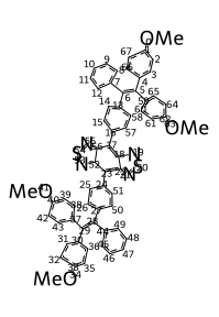 COc1ccc(C(=C(c2ccccc2)c2ccc(C3=C4N=S=NC4=C(c4ccc(C(=C(c5ccc(OC)cc5)c5ccc(OC)cc5)c5ccccc5)cc4)C4N=S=NC34)cc2)c2ccc(OC)cc2)cc1